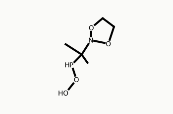 CC(C)(POO)N1OCCO1